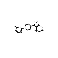 O=C1CC(O)(C(F)(F)F)c2c(C3CCN(c4nc(Cl)ccc4C(F)(F)F)CC3)n[nH]c2N1